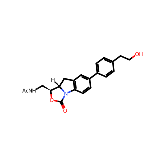 CC(=O)NC[C@@H]1OC(=O)N2c3ccc(-c4ccc(CCO)cc4)cc3C[C@@H]12